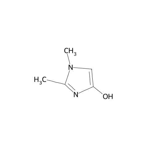 Cc1nc(O)cn1C